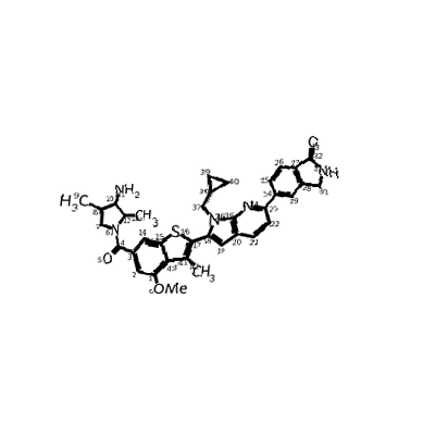 COc1cc(C(=O)N2CC(C)C(N)C2C)cc2sc(-c3cc4ccc(-c5ccc6c(c5)CNC6=O)nc4n3CC3CC3)c(C)c12